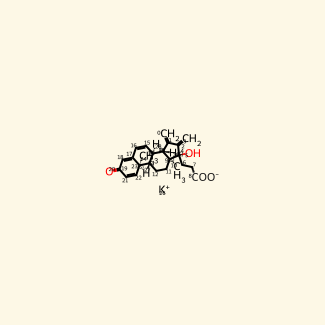 C=C1C(=C)[C@](O)(CCC(=O)[O-])[C@@]2(C)CC[C@H]3[C@@H](C=CC4=CC(=O)C=C[C@@]43C)[C@H]12.[K+]